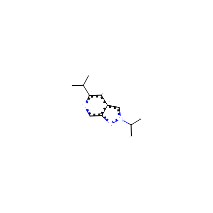 CC(C)c1cc2cn(C(C)C)nc2cn1